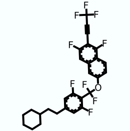 Fc1cc2cc(OC(F)(F)c3c(F)cc(CCC4CCCCC4)cc3F)ccc2c(F)c1C#CC(F)(F)F